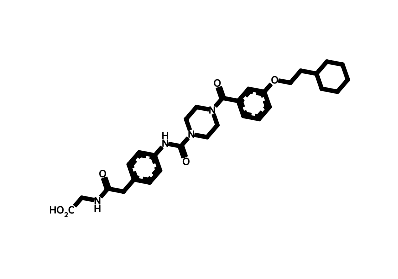 O=C(O)CNC(=O)Cc1ccc(NC(=O)N2CCN(C(=O)c3cccc(OCCC4CCCCC4)c3)CC2)cc1